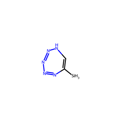 [SiH3]C1=CNN=NN=N1